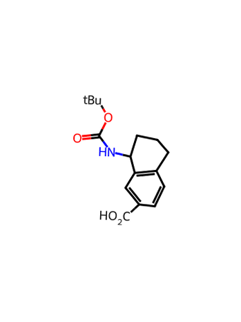 CC(C)(C)OC(=O)NC1CCCc2ccc(C(=O)O)cc21